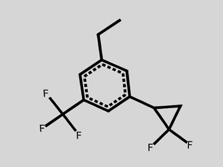 CCc1cc(C2CC2(F)F)cc(C(F)(F)F)c1